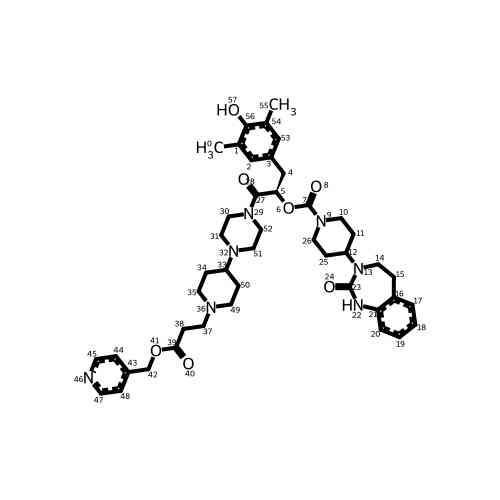 Cc1cc(C[C@@H](OC(=O)N2CCC(N3CCc4ccccc4NC3=O)CC2)C(=O)N2CCN(C3CCN(CCC(=O)OCc4ccncc4)CC3)CC2)cc(C)c1O